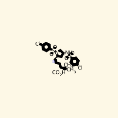 CC(C)(CC/C=C\[C@@H]1C[C@@H](NS(=O)(=O)c2ccc(Cl)cc2)CN1S(=O)(=O)c1ccc(Cl)cc1)C(=O)O